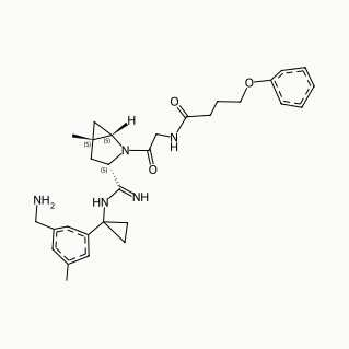 Cc1cc(CN)cc(C2(NC(=N)[C@@H]3C[C@]4(C)C[C@@H]4N3C(=O)CNC(=O)CCCOc3ccccc3)CC2)c1